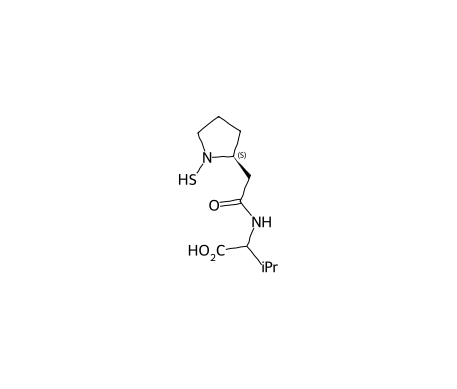 CC(C)C(NC(=O)C[C@@H]1CCCN1S)C(=O)O